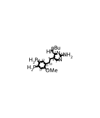 CCCCNc1nc(N)ncc1CCc1cc(P)c(P)cc1OC